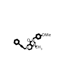 COc1ccc(CN2CN(C)C3=C(CN(CC#Cc4ccccc4)CC3)C2=O)cc1